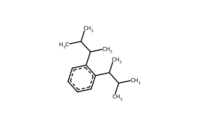 CC(C)C(C)c1ccccc1C(C)C(C)C